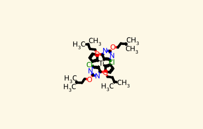 CC(C)CCOc1nc(Cl)[c]([Ti]([C]2=CC=CC2)([C]2=CC=CC2)[c]2c(Cl)nc(OCCC(C)C)nc2OCCC(C)C)c(OCCC(C)C)n1